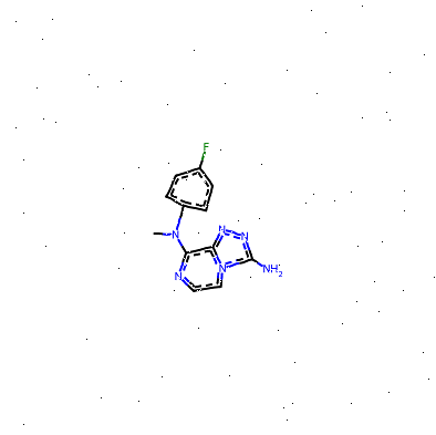 CN(c1ccc(F)cc1)c1nccn2c(N)nnc12